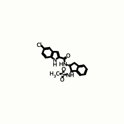 CS(=O)(=O)N[C@H]1c2ccccc2C[C@@H]1NC(=O)c1cc2cc(Cl)ccc2[nH]1